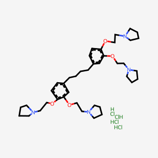 Cl.Cl.Cl.Cl.c1cc(OCCN2CCCC2)c(OCCN2CCCC2)cc1CCCCc1ccc(OCCN2CCCC2)c(OCCN2CCCC2)c1